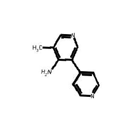 Cc1cncc(-c2ccncc2)c1N